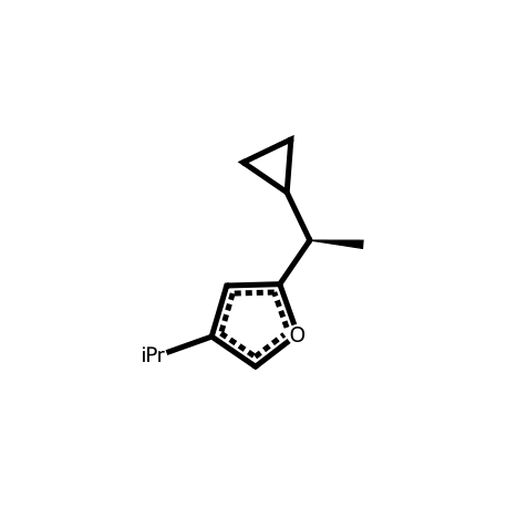 CC(C)c1coc([C@H](C)C2CC2)c1